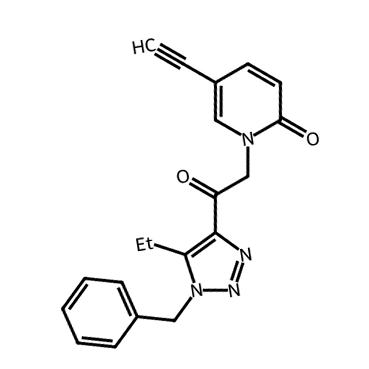 C#Cc1ccc(=O)n(CC(=O)c2nnn(Cc3ccccc3)c2CC)c1